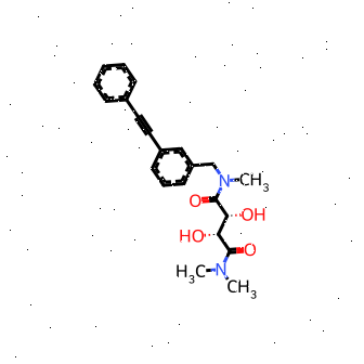 CN(C)C(=O)[C@H](O)[C@@H](O)C(=O)N(C)Cc1cccc(C#Cc2ccccc2)c1